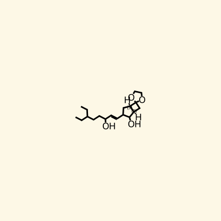 CCC(CC)CCC(O)C=CC1C[C@H]2[C@@H](CC23OCCO3)C1O